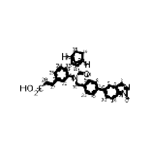 Cn1ncc2cc(-c3ccc(CN(C(=O)[C@@H]4C[C@@H]5CC[C@H]4C5)c4cccc(/C=C/C(=O)O)c4)cc3)ccc21